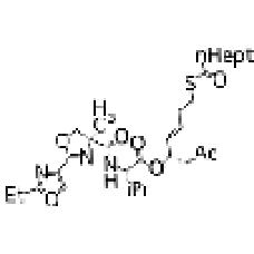 CCCCCCCC(=O)SCC/C=C/[C@H](CC(C)=O)OC(=O)[C@@H](NC(=O)[C@]1(C)COC(c2coc(CC)n2)=N1)C(C)C